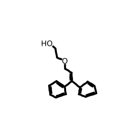 OCCOCC=C(c1ccccc1)c1ccccc1